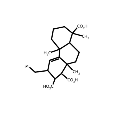 CC(C)CC1C=C2C(C)(CCC3C(C)(C(=O)O)CCCC23C)C(C(=O)O)C1C(=O)O